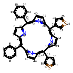 C1=CC2=C(c3ccccc3)C3=NC(=C(c4ccsc4)C4=NC(=C(c5ccsc5)C5=NC(=C(c6ccccc6)C1=N2)C=C5)C=C4)C=C3